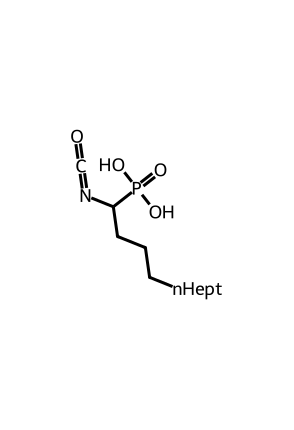 CCCCCCCCCCC(N=C=O)P(=O)(O)O